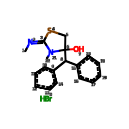 Br.C/N=C1/SCC(O)(C(c2ccccc2)c2ccccc2)N1C